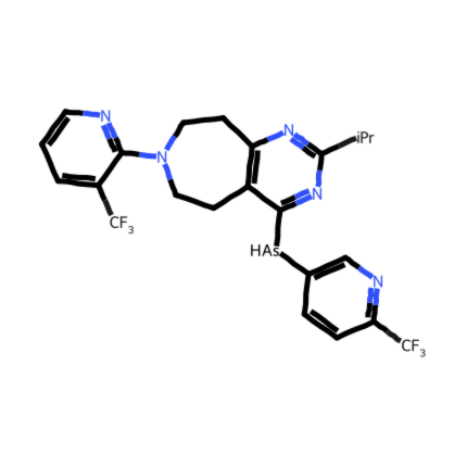 CC(C)c1nc2c(c([AsH]c3ccc(C(F)(F)F)nc3)n1)CCN(c1ncccc1C(F)(F)F)CC2